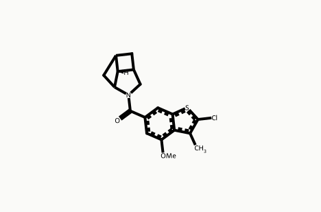 COc1cc(C(=O)N2CC3CC4CC2[C@H]43)cc2sc(Cl)c(C)c12